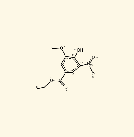 CCOC(=O)c1cc(OC)c(O)c([N+](=O)[O-])c1